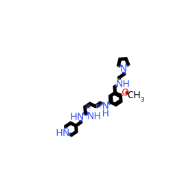 COc1ccc(N/C=C/C=C\C(=N)NCC2CCNCC2)cc1CNCCN1CCCC1